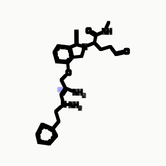 C=C1c2cccc(OC/C(N)=C/N(N)CCc3ccccc3)c2CN1C(CCC=O)C(=O)NC